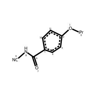 CC(C)Oc1ccc(C(=O)NC#N)cc1